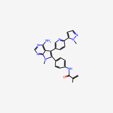 C=C(C)C(=O)Nc1ccc(-c2c(-c3ccc(-c4ccnn4C)nc3)c3c(N)ncnc3n2C)cc1